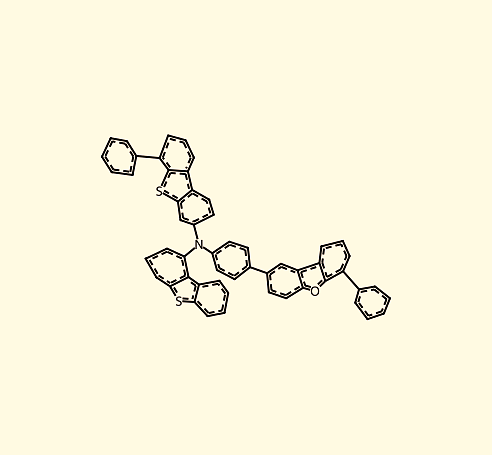 c1ccc(-c2cccc3c2oc2ccc(-c4ccc(N(c5ccc6c(c5)sc5c(-c7ccccc7)cccc56)c5cccc6sc7ccccc7c56)cc4)cc23)cc1